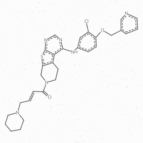 O=C(C=CCN1CCCCC1)N1CCc2c(sc3ncnc(Nc4ccc(OCc5cccnc5)c(Cl)c4)c23)C1